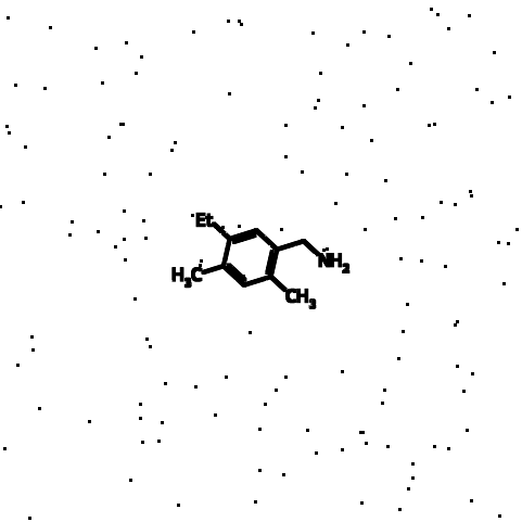 CCc1cc(CN)c(C)cc1C